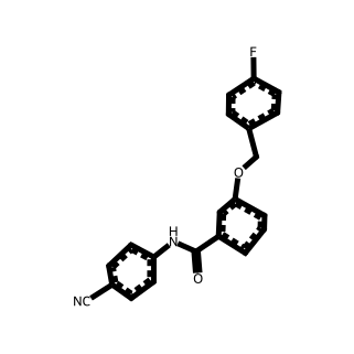 N#Cc1ccc(NC(=O)c2cccc(OCc3ccc(F)cc3)c2)cc1